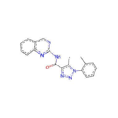 Cc1ccccc1-n1nnc(C(=O)Nc2ncc3ccccc3n2)c1C